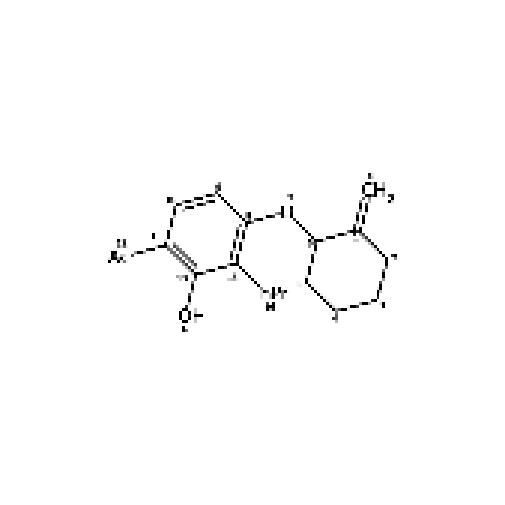 C=C1CCCCC1Oc1ccc(C(C)=O)c(O)c1CCC